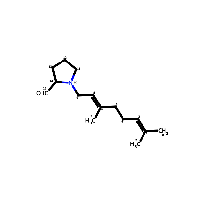 CC(C)=CCC/C(C)=C/CN1CCCC1C=O